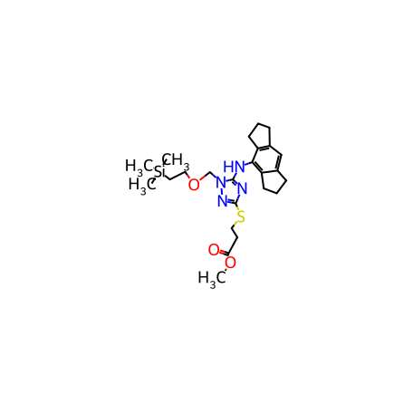 COC(=O)CCSc1nc(Nc2c3c(cc4c2CCC4)CCC3)n(COCC[Si](C)(C)C)n1